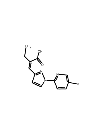 CCC(=Cc1ccn(-c2ccc(F)cn2)n1)C(=O)O